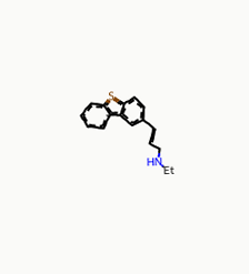 CCNCC=Cc1ccc2sc3ccccc3c2c1